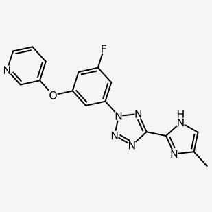 Cc1c[nH]c(-c2nnn(-c3cc(F)cc(Oc4cccnc4)c3)n2)n1